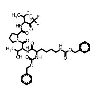 CC(C)C(NC(=O)C(CCCCNC(=O)OCc1ccccc1)NC(=O)OCc1ccccc1)C(=O)N1CCCC1C(=O)NC(C(=O)C(F)(F)F)C(C)C